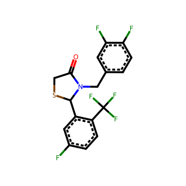 O=C1CSC(c2cc(F)ccc2C(F)(F)F)N1Cc1ccc(F)c(F)c1